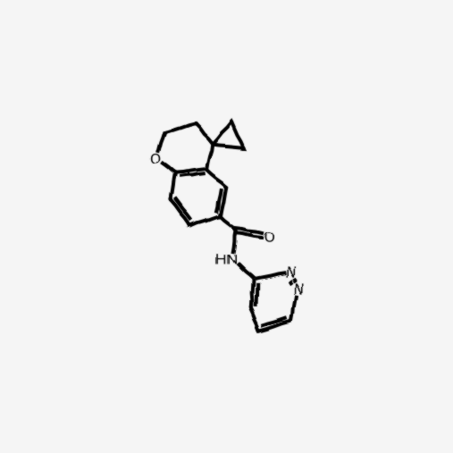 O=C(Nc1cccnn1)c1ccc2c(c1)C1(CCO2)CC1